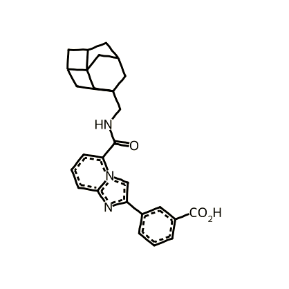 O=C(O)c1cccc(-c2cn3c(C(=O)NCC45CC6CC7CC(C4)C7(C6)C5)cccc3n2)c1